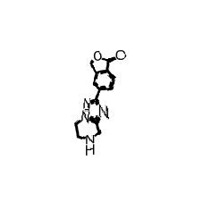 O=C1OCc2cc(-c3nc4n(n3)CCNC4)ccc21